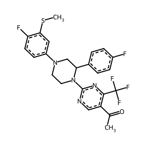 CSc1cc(N2CCN(c3ncc(C(C)=O)c(C(F)(F)F)n3)C(c3ccc(F)cc3)C2)ccc1F